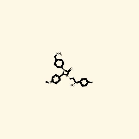 COc1ccc(C2[C@@H](CC[C@H](O)c3ccc(F)cc3)C(=O)N2c2ccc(CN)cc2)cc1